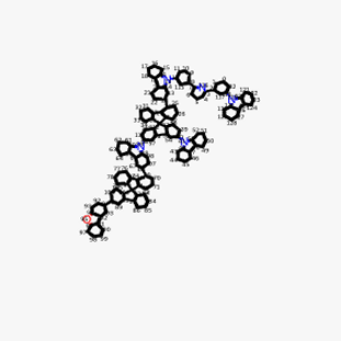 c1cc(-c2cccc(-c3cccc(-n4c5ccccc5c5ccc(-c6cccc7c6-c6ccccc6C76c7ccc(-n8c9ccccc9c9ccccc98)cc7-c7cc(-n8c9ccccc9c9cc(-c%10cccc%11c%10-c%10ccccc%10C%11%10c%11ccccc%11-c%11cc(-c%12ccc%13oc%14ccccc%14c%13c%12)ccc%11%10)ccc98)ccc76)cc54)c3)n2)cc(-n2c3ccccc3c3ccccc32)c1